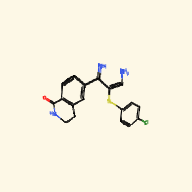 N=C(/C(=C\N)Sc1ccc(Cl)cc1)c1ccc2c(c1)CCNC2=O